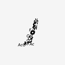 CC(=O)OC(C)OC(=O)C(C[C@H]1CN(c2ccc(-n3cc(Cn4cncn4)nn3)c(F)c2)C(=O)O1)C(C)=O